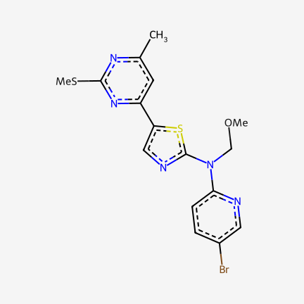 COCN(c1ccc(Br)cn1)c1ncc(-c2cc(C)nc(SC)n2)s1